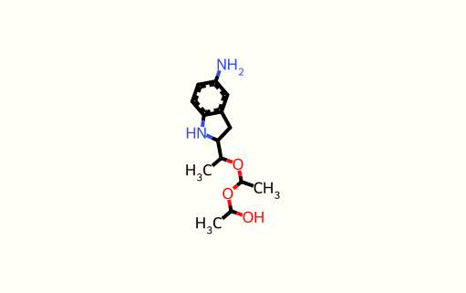 CC(O)OC(C)OC(C)C1Cc2cc(N)ccc2N1